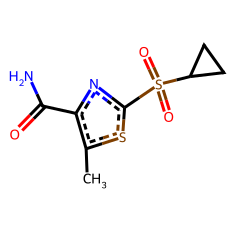 Cc1sc(S(=O)(=O)C2CC2)nc1C(N)=O